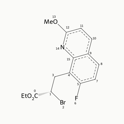 CCOC(=O)[C@@H](Br)Cc1c(F)ccc2ccc(OC)nc12